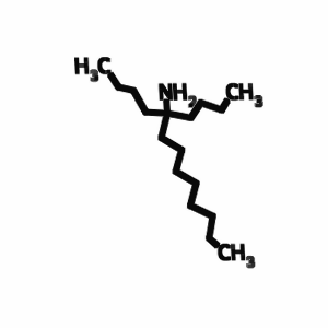 CCCCCCCCC(N)(CCCC)CCCC